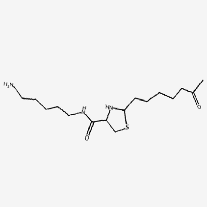 CC(=O)CCCCCC1NC(C(=O)NCCCCCN)CS1